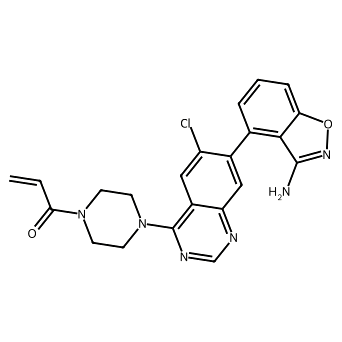 C=CC(=O)N1CCN(c2ncnc3cc(-c4cccc5onc(N)c45)c(Cl)cc23)CC1